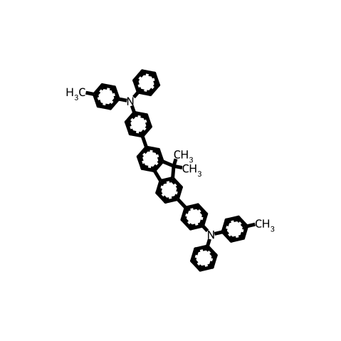 Cc1ccc(N(c2ccccc2)c2ccc(-c3ccc4c(c3)C(C)(C)c3cc(-c5ccc(N(c6ccccc6)c6ccc(C)cc6)cc5)ccc3-4)cc2)cc1